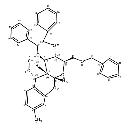 CO[C@H]1c2ccc(C)cc2O[C@H]2O[C@H](COCc3ccccc3)[C@@H](OCc3ccccc3)[C@H](OCc3ccccc3)[C@H]21